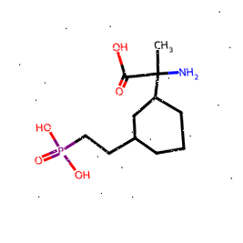 CC(N)(C(=O)O)C1CCCC(CCP(=O)(O)O)C1